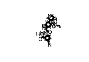 CCNS(=O)(=O)c1cc2c(C(=O)Nc3ccc(C#N)cc3C(=O)O)noc2cc1-c1cccnc1